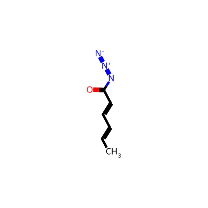 C/C=C/C=C/C(=O)N=[N+]=[N-]